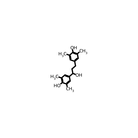 Cc1cc(CCC(O)c2cc(C)c(O)c(C)c2)cc(C)c1O